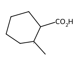 C[C]1CCCCC1C(=O)O